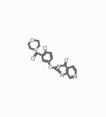 O=C(c1cc(OC2c3nc4cnccc4c(=O)n32)ccc1Cl)N1CCOCC1